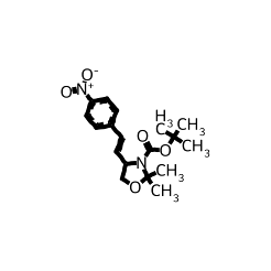 CC(C)(C)OC(=O)N1C(C=Cc2ccc([N+](=O)[O-])cc2)COC1(C)C